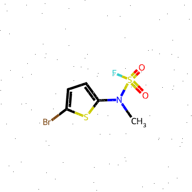 CN(c1ccc(Br)s1)S(=O)(=O)F